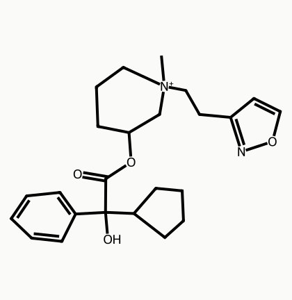 C[N+]1(CCc2ccon2)CCCC(OC(=O)C(O)(c2ccccc2)C2CCCC2)C1